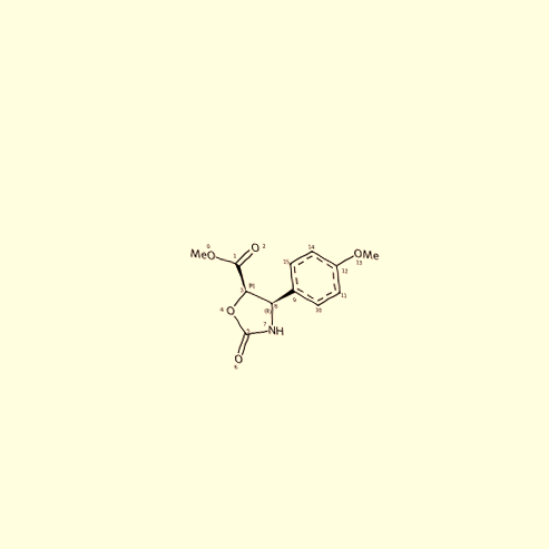 COC(=O)[C@@H]1OC(=O)N[C@@H]1c1ccc(OC)cc1